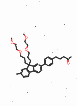 COCCOCCCC1(CCCOCCOC)c2cc(C)ccc2-c2ccc(-c3ccc(CCCC(C)=O)cc3)cc21